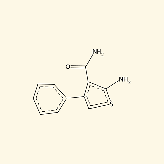 NC(=O)c1c(-c2ccccc2)csc1N